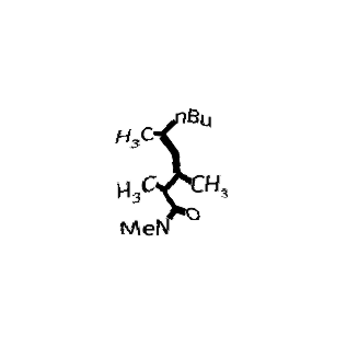 CCCCC(C)=C=C(C)C(C)C(=O)NC